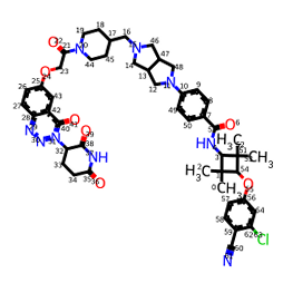 CC1(C)C(NC(=O)c2ccc(N3CC4CN(CC5CCN(C(=O)COc6ccc7nnn(C8CCC(=O)NC8=O)c(=O)c7c6)CC5)CC4C3)cc2)C(C)(C)C1Oc1ccc(C#N)c(Cl)c1